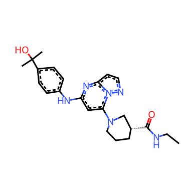 CCNC(=O)[C@@H]1CCCN(c2cc(Nc3ccc(C(C)(C)O)cc3)nc3ccnn23)C1